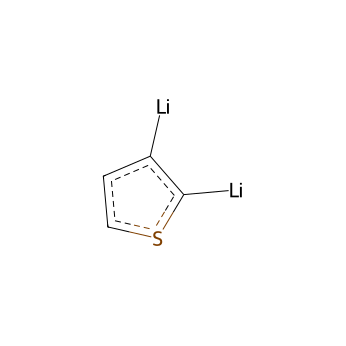 [Li][c]1ccs[c]1[Li]